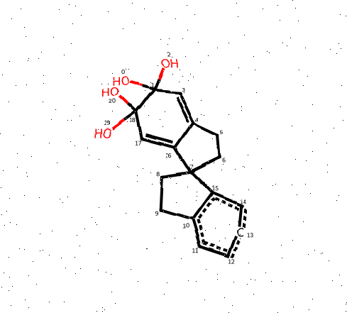 OC1(O)C=C2CCC3(CCc4ccccc43)C2=CC1(O)O